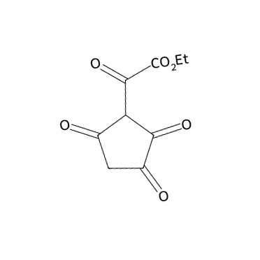 CCOC(=O)C(=O)C1C(=O)CC(=O)C1=O